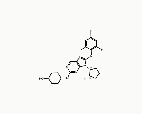 C[C@H]1CCC[C@H]1n1c(Nc2c(F)cc(F)cc2F)nc2cnc(NC3CCC(O)CC3)nc21